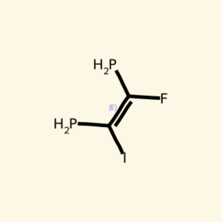 F/C(P)=C(/P)I